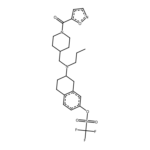 CCCN(CC1CCN(C(=O)c2ccno2)CC1)C1CCc2ccc(OS(=O)(=O)C(F)(F)F)cc2C1